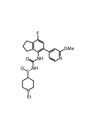 CCN1CCC([S+]([O-])NC(=O)Nc2c(-c3ccnc(OC)c3)cc(F)c3c2CCC3)CC1